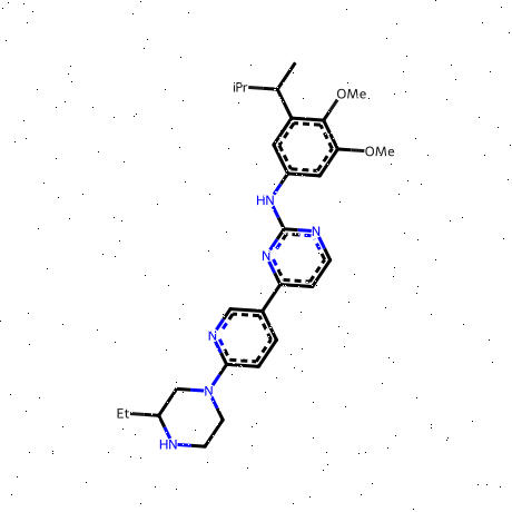 CCC1CN(c2ccc(-c3ccnc(Nc4cc(OC)c(OC)c(C(C)C(C)C)c4)n3)cn2)CCN1